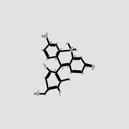 Cc1c(F)c(CO)cc(F)c1C1=C2C=CC(=O)C=C2S(C)(C)c2cc(O)ccc21